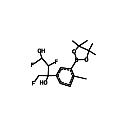 Cc1ccc(C(O)(CF)C(F)C(O)F)cc1B1OC(C)(C)C(C)(C)O1